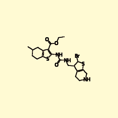 CCOC(=O)c1c(NC(=O)NCC2C3=C(CNCC3)SC2Br)sc2c1CC(C)CC2